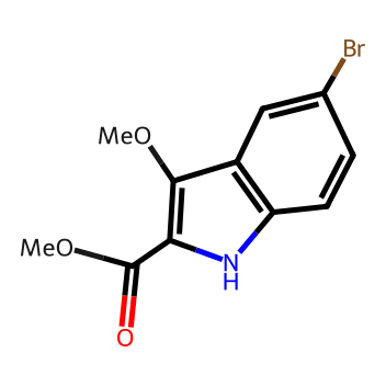 COC(=O)c1[nH]c2ccc(Br)cc2c1OC